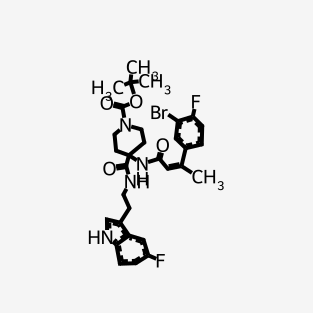 CC(=CC(=O)NC1(C(=O)NCCc2c[nH]c3ccc(F)cc23)CCN(C(=O)OC(C)(C)C)CC1)c1ccc(F)c(Br)c1